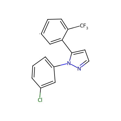 FC(F)(F)c1cc[c]cc1-c1ccnn1-c1cccc(Cl)c1